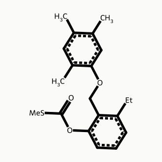 CCc1cccc(OC(=O)SC)c1COc1cc(C)c(C)cc1C